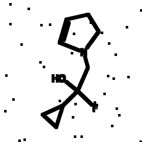 OC(F)(CN1C=CCC1)C1CC1